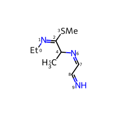 CC/N=C(/SC)C(C)/N=C\C=N